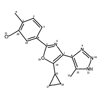 Cc1ccc(-c2nc(-c3nn[nH]c3C)c(C3CC3)o2)cc1Cl